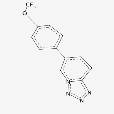 FC(F)(F)Oc1ccc(-c2ccc3nnnn3c2)cc1